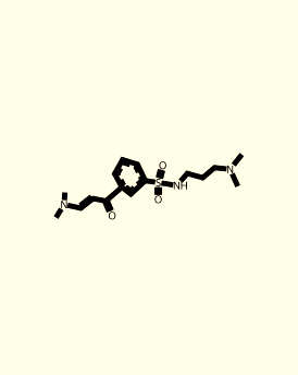 CN(C)C=CC(=O)c1cccc(S(=O)(=O)NCCCN(C)C)c1